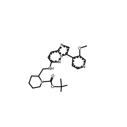 COc1cnccc1-c1cnc2ccc(NCC3CCCCN3C(=O)OC(C)(C)C)nn12